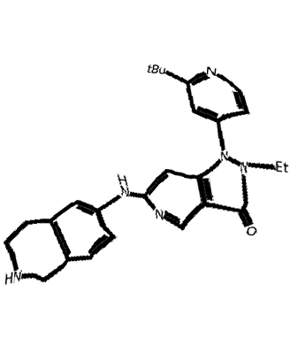 CCn1c(=O)c2cnc(Nc3ccc4c(c3)CCNC4)cc2n1-c1ccnc(C(C)(C)C)c1